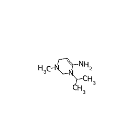 CC(C)N1CN(C)CC=C1N